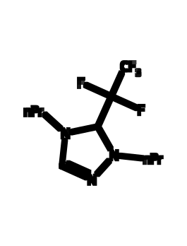 CCCN1C=NN(CCC)C1C(F)(F)C(F)(F)F